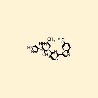 C[C@H]1CN(c2ccnc(-c3cnc4ccc(C(F)(F)F)cn34)n2)[C@@H](C)[C@@H](c2cn[nH]c2)N1